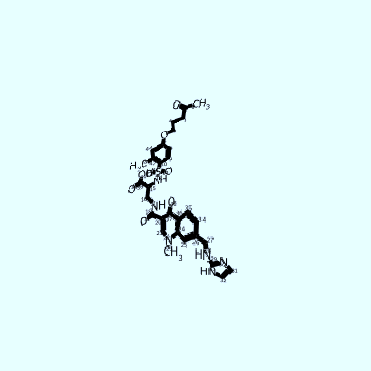 CC(=O)CCCOc1ccc(S(=O)(=O)NC(CNC(=O)c2cn(C)c3cc(CNc4ncc[nH]4)ccc3c2=O)C(=O)O)c(C)c1